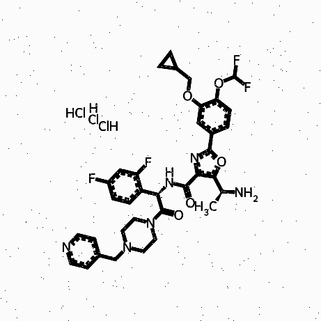 C[C@H](N)c1oc(-c2ccc(OC(F)F)c(OCC3CC3)c2)nc1C(=O)N[C@@H](C(=O)N1CCN(Cc2ccncc2)CC1)c1ccc(F)cc1F.Cl.Cl.Cl